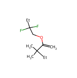 C=C(OCC(F)(F)CC)C(C)(C)CC